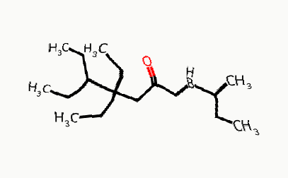 CCC(C)BCC(=O)CC(CC)(CC)C(CC)CC